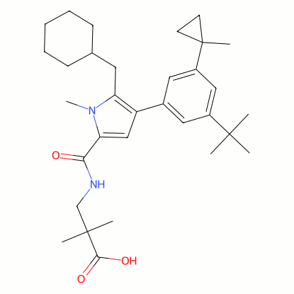 Cn1c(C(=O)NCC(C)(C)C(=O)O)cc(-c2cc(C(C)(C)C)cc(C3(C)CC3)c2)c1CC1CCCCC1